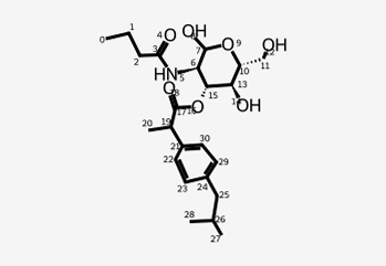 CCCC(=O)N[C@H]1C(O)O[C@H](CO)[C@@H](O)[C@@H]1OC(=O)C(C)c1ccc(CC(C)C)cc1